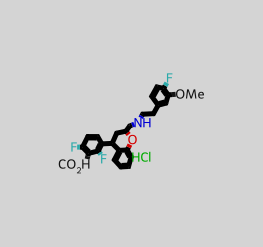 COc1cc(CCNCC2CC(c3ccc(F)c(C(=O)O)c3F)c3ccccc3O2)ccc1F.Cl